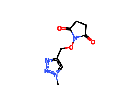 Cn1cc(CON2C(=O)CCC2=O)nn1